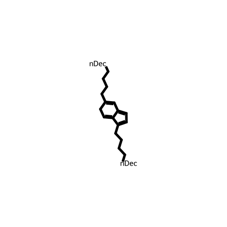 CCCCCCCCCCCCCCC1=CC2=CC=C(CCCCCCCCCCCCCC)C2=CC1